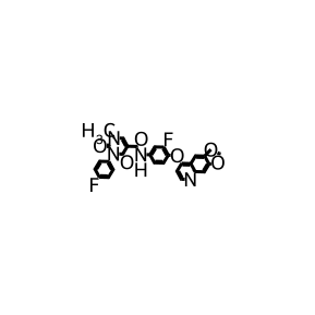 Cn1cc(C(=O)Nc2ccc(Oc3ccnc4cc5c(cc34)OCO5)c(F)c2)c(=O)n(-c2ccc(F)cc2)c1=O